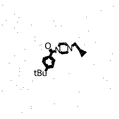 CC(C)(C)c1ccc(C(=O)N2CCN(CC3CC3)CC2)cc1